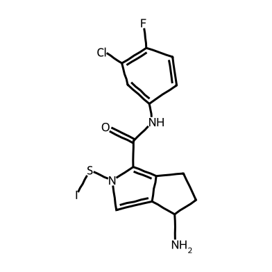 NC1CCc2c1cn(SI)c2C(=O)Nc1ccc(F)c(Cl)c1